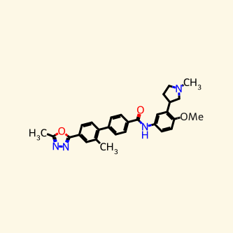 COc1ccc(NC(=O)c2ccc(-c3ccc(-c4nnc(C)o4)cc3C)cc2)cc1C1CCN(C)C1